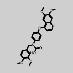 COc1ccc(CN(C(=O)O)c2ccc(Oc3ccnc4cc(OC)c(OC)cc34)cc2)cc1OC